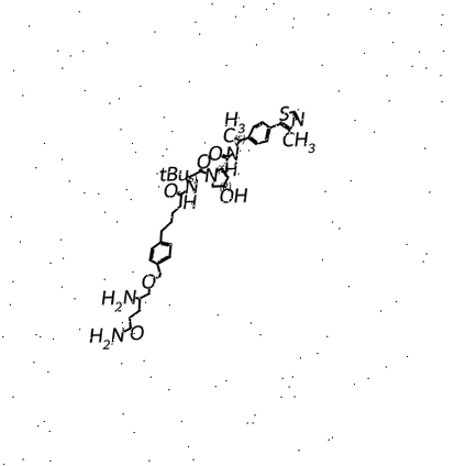 Cc1ncsc1-c1ccc([C@H](C)NC(=O)[C@@H]2C[C@@H](O)CN2C(=O)[C@@H](NC(=O)CCCCc2ccc(COCC(N)CCC(N)=O)cc2)C(C)(C)C)cc1